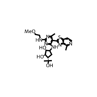 COCCNc1nc(C)c(-c2nc3c(C)nccc3s2)c(NC2C[C@H](C(C)(C)O)[C@@H](O)[C@H]2O)n1